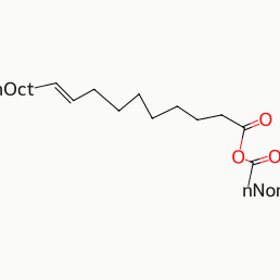 CCCCCCCCC=CCCCCCCCC(=O)OC(=O)CCCCCCCCC